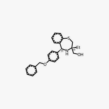 CC[C@]1(CO)CSc2ccccc2[C@H](c2ccc(OCc3ccccc3)cc2)N1